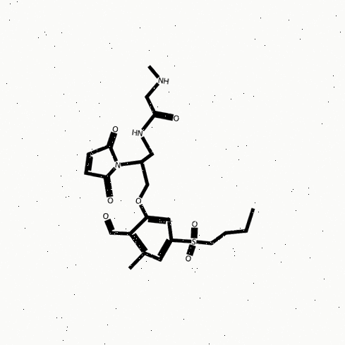 CCCCS(=O)(=O)c1cc(C)c(C=O)c(OCC(CNC(=O)CNC)N2C(=O)C=CC2=O)c1